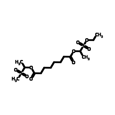 CCOS(=O)(=O)C(C)OC(=O)CCCCCCC(=O)OC(C)S(C)(=O)=O